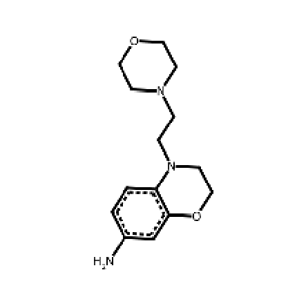 Nc1ccc2c(c1)OCCN2CCN1CCOCC1